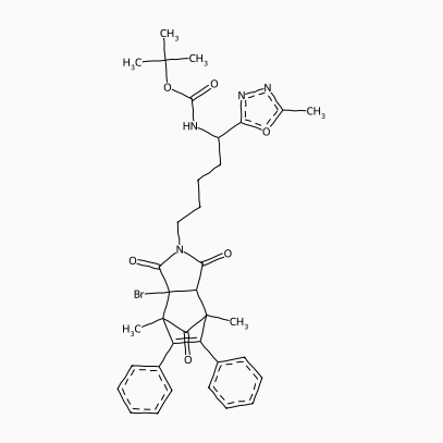 Cc1nnc(C(CCCCN2C(=O)C3C4(C)C(=O)C(C)(C(c5ccccc5)=C4c4ccccc4)C3(Br)C2=O)NC(=O)OC(C)(C)C)o1